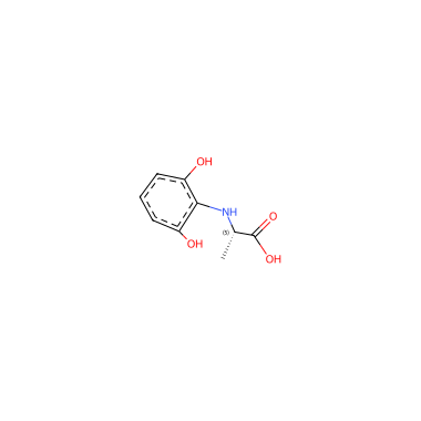 C[C@H](Nc1c(O)cccc1O)C(=O)O